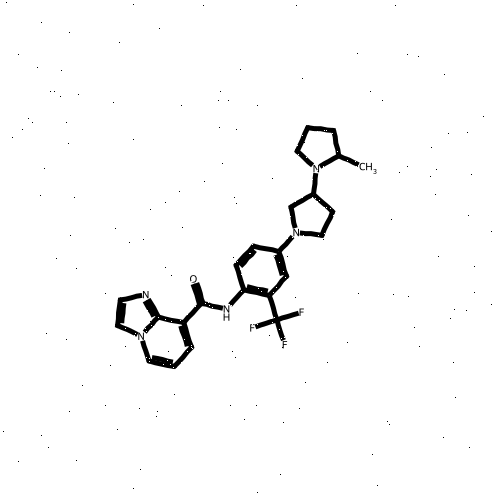 CC1CCCN1C1CCN(c2ccc(NC(=O)c3cccn4ccnc34)c(C(F)(F)F)c2)C1